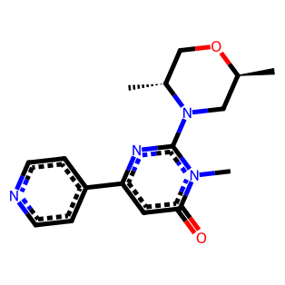 C[C@@H]1CO[C@@H](C)CN1c1nc(-c2ccncc2)cc(=O)n1C